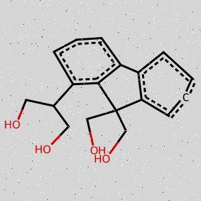 OCC(CO)c1cccc2c1C(CO)(CO)c1ccccc1-2